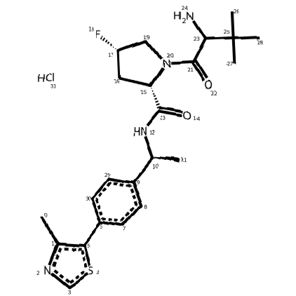 Cc1ncsc1-c1ccc([C@H](C)NC(=O)[C@@H]2C[C@H](F)CN2C(=O)C(N)C(C)(C)C)cc1.Cl